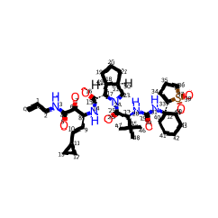 C=CCNC(=O)C(=O)[C@H](CCC1CC1)NC(=O)[C@@H]1[C@H]2CCC[C@H]2CN1C(=O)[C@@H](NC(=O)NC1([C@@H]2CCCS2(=O)=O)CCCCC1)C(C)(C)C